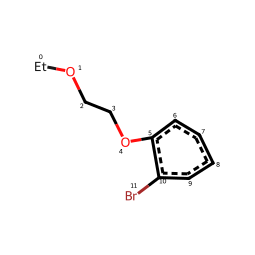 CCOCCOc1ccccc1Br